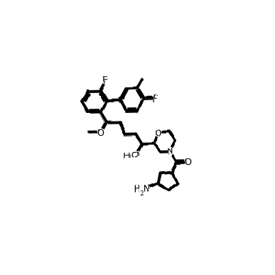 COC(CCCC(O)C1CN(C(=O)C2CCC(N)C2)CCO1)c1cccc(F)c1-c1ccc(F)c(C)c1